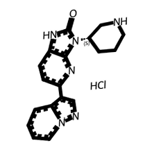 Cl.O=c1[nH]c2ccc(-c3cnn4ccccc34)nc2n1[C@H]1CCCNC1